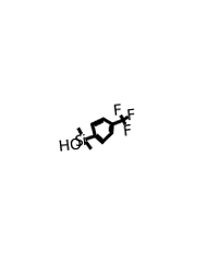 C[Si](C)(O)c1ccc(C(F)(F)F)cc1